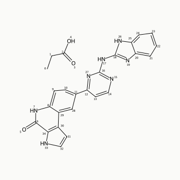 CCC(=O)O.O=c1[nH]c2ccc(-c3ccnc(Nc4nc5ccccc5[nH]4)n3)cc2c2cc[nH]c12